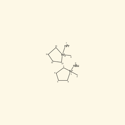 CCCC[N+]1(C)CCCC1.CCC[N+]1(C)CCCC1